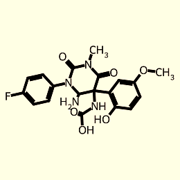 COc1ccc(O)c(C2(NC(=O)O)C(=O)N(C)C(=O)N(c3ccc(F)cc3)C2N)c1